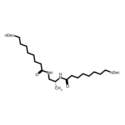 CCCCCCCCCCCCCCCCCC(=O)NC[C@@H](C)NC(=O)CCCCCCCCCCCCCCCCC